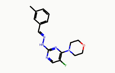 Cc1cccc(/C=N/Nc2ncc(F)c(N3CCOCC3)n2)c1